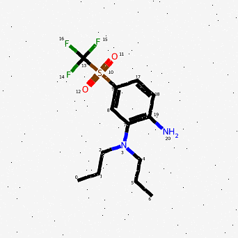 CCCN(CCC)c1cc(S(=O)(=O)C(F)(F)F)ccc1N